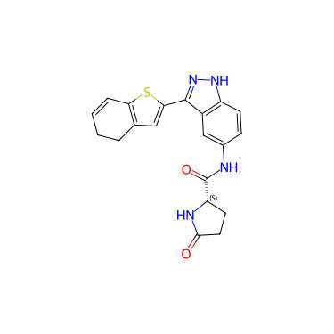 O=C1CC[C@@H](C(=O)Nc2ccc3[nH]nc(-c4cc5c(s4)C=CCC5)c3c2)N1